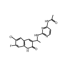 CC(=O)Nc1ccnc(NC(C)c2cc3cc(Cl)c(F)cc3[nH]c2=O)n1